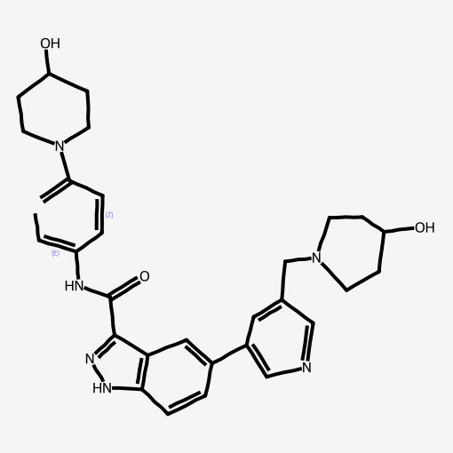 C=C(/C=C\C(=C/C)NC(=O)c1n[nH]c2ccc(-c3cncc(CN4CCC(O)CC4)c3)cc12)N1CCC(O)CC1